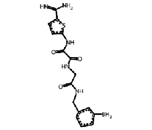 Bc1cccc(CNC(=O)CNC(=O)C(=O)Nc2ccc(C(=N)N)s2)c1